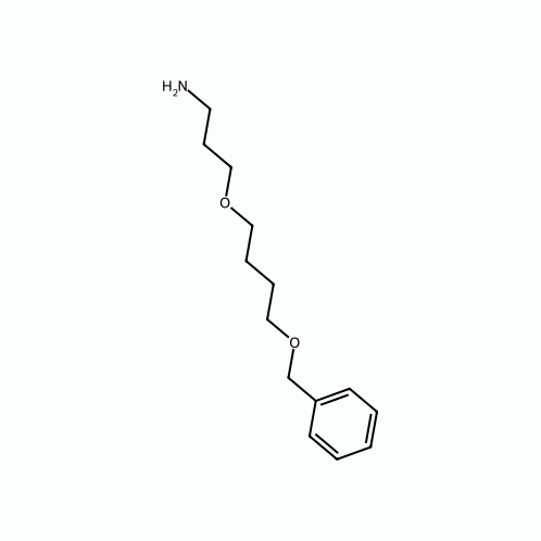 NCCCOCCCCOCc1ccccc1